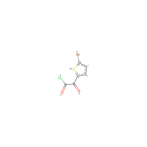 O=C(Cl)C(=O)c1ccc(Br)s1